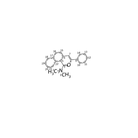 CN(C)C(=O)c1c(C=Cc2ccccc2)ccc2ccccc12